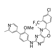 COc1cc(Nc2ncc3c(n2)N(C)C(c2ccc(Cl)cc2C(F)(F)F)CO3)ccc1-c1ccnc(C)c1